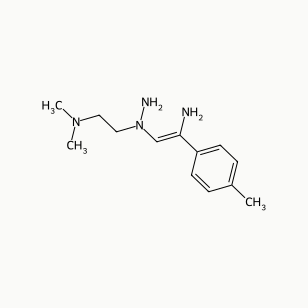 Cc1ccc(/C(N)=C/N(N)CCN(C)C)cc1